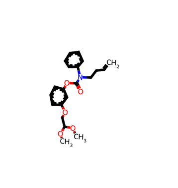 C=CCCN(C(=O)Oc1cccc(OCC(OC)OC)c1)c1ccccc1